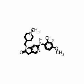 COc1ccc(Nc2cc3c(cn2)CC(=O)N3CC2CCN(C)CC2)c(C)c1